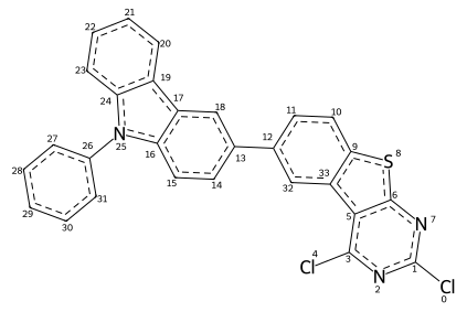 Clc1nc(Cl)c2c(n1)sc1ccc(-c3ccc4c(c3)c3ccccc3n4-c3ccccc3)cc12